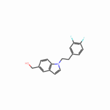 OCc1ccc2c(ccn2CCc2ccc(F)c(F)c2)c1